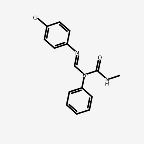 CNC(=O)N(C=Nc1ccc(Cl)cc1)c1ccccc1